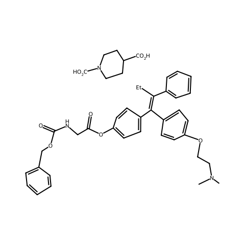 CCC(=C(c1ccc(OCCN(C)C)cc1)c1ccc(OC(=O)CNC(=O)OCc2ccccc2)cc1)c1ccccc1.O=C(O)C1CCN(C(=O)O)CC1